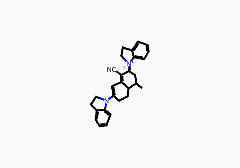 CC1C/C(=[N+]2/CCc3ccccc32)C(C#N)=C2C=C(N3CCc4ccccc43)CCC21